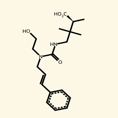 C[C@H](C(=O)O)C(C)(C)CNC(=O)N(CC=Cc1ccccc1)CCO